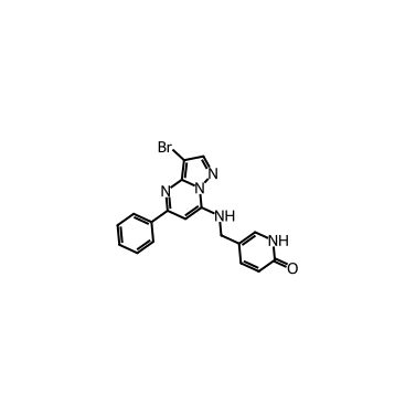 O=c1ccc(CNc2cc(-c3ccccc3)nc3c(Br)cnn23)c[nH]1